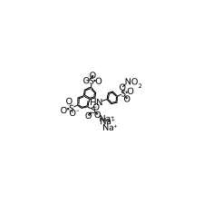 O=[N+]([O-])OS(=O)(=O)c1ccc(Nc2cc(S(=O)(=O)[O-])cc3cc(S(=O)(=O)[O-])cc(S(=O)(=O)[O-])c23)cc1.[Na+].[Na+].[Na+]